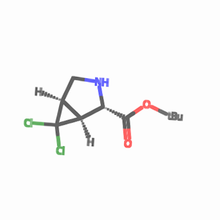 CC(C)(C)OC(=O)[C@H]1NC[C@H]2[C@@H]1C2(Cl)Cl